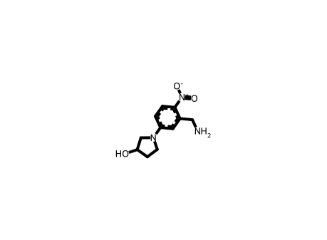 NCc1cc(N2CCC(O)C2)ccc1[N+](=O)[O-]